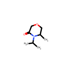 CC(C)N1C(=O)COCC1C